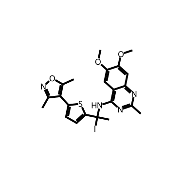 COc1cc2nc(C)nc(NC(C)(I)c3ccc(-c4c(C)noc4C)s3)c2cc1OC